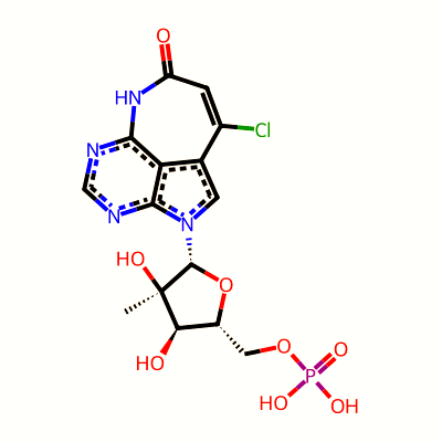 C[C@@]1(O)[C@H](O)[C@@H](COP(=O)(O)O)O[C@H]1n1cc2c3c(ncnc31)NC(=O)C=C2Cl